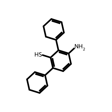 Nc1ccc(C2=CCCC=C2)c(S)c1C1=CC=CCC1